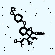 CCOc1ccc(Oc2cccc(C(C(=O)OC)(C(C)C)C(C=C(Cl)Cl)C(C)C)n2)cc1